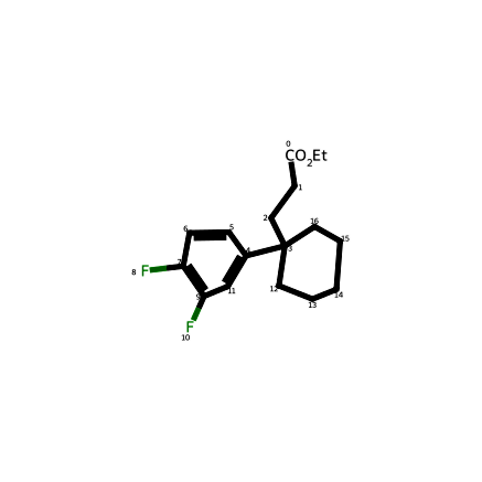 CCOC(=O)CCC1(c2ccc(F)c(F)c2)CCCCC1